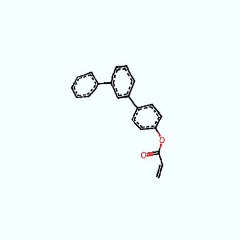 C=CC(=O)Oc1ccc(-c2cccc(-c3ccccc3)c2)cc1